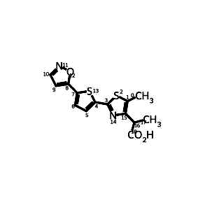 Cc1sc(-c2ccc(-c3ccno3)s2)nc1C(C)C(=O)O